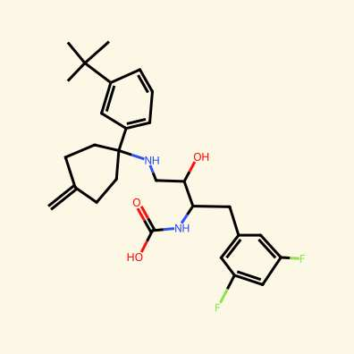 C=C1CCC(NCC(O)C(Cc2cc(F)cc(F)c2)NC(=O)O)(c2cccc(C(C)(C)C)c2)CC1